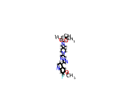 COc1cc2c(-c3cnn4cc(N5CCC6(CC5)CN(C(=O)OC(C)(C)C)C6)cnc34)ccnc2cc1F